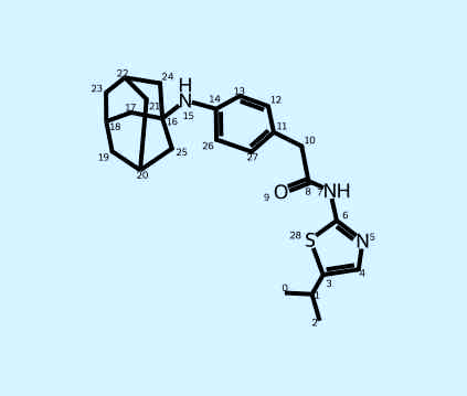 CC(C)c1cnc(NC(=O)Cc2ccc(NC34CC5CC(CC(C5)C3)C4)cc2)s1